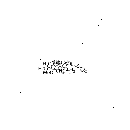 COc1c(C)c(OCCCSc2ccc(F)cc2)c(C)c(C)c1OC(=O)c1c(C)c(C)c(C(=O)O)c(OC)c1C